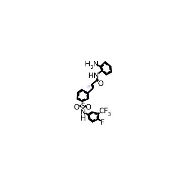 Nc1ccccc1NC(=O)/C=C/c1cccc(S(=O)(=O)Nc2ccc(F)c(C(F)(F)F)c2)c1